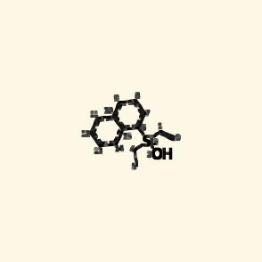 C=C[Si](O)(CC)c1cccc2ccccc12